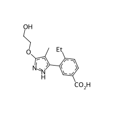 CCc1ccc(C(=O)O)cc1-c1[nH]nc(OCCO)c1C